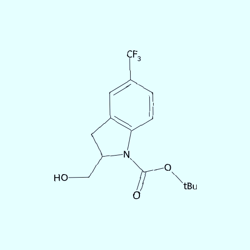 CC(C)(C)OC(=O)N1c2ccc(C(F)(F)F)cc2CC1CO